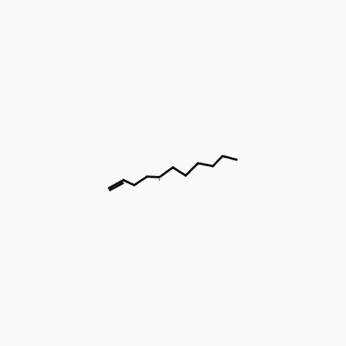 C=CCC[CH]CCCCCC